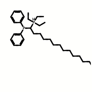 CCCCCCCCCCCCCC(P(c1ccccc1)c1ccccc1)[PH](CC)(CC)CC